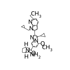 CCc1ccc2cc(-c3nc4cc(C(=O)N5[C@H]6CC[C@@H]5[C@H](N)C6)cc(OC)n4c3C3CC3)n(CC3CC3)c2n1